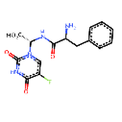 N[C@@H](Cc1ccccc1)C(=O)N[C@@H](C(=O)O)n1cc(F)c(=O)[nH]c1=O